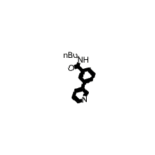 CCCCNC(=O)c1cccc(-c2cccnc2)c1